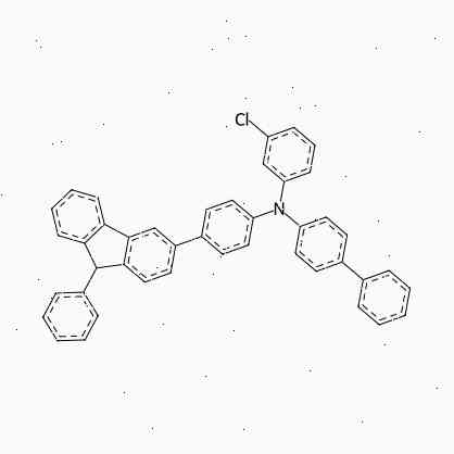 Clc1cccc(N(c2ccc(-c3ccccc3)cc2)c2ccc(-c3ccc4c(c3)-c3ccccc3C4c3ccccc3)cc2)c1